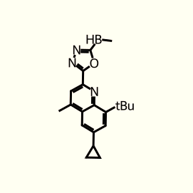 CBc1nnc(-c2cc(C)c3cc(C4CC4)cc(C(C)(C)C)c3n2)o1